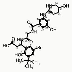 CC(C)(C)c1cc(Br)cc(C(CC(=O)O)NC(=O)CNC(=O)c2cc(O)cc(NC3=NCC(O)CN3)c2)c1O